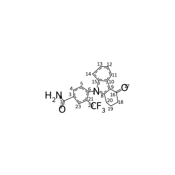 NC(=O)c1ccc(-n2c3c(c4ccccc42)C(=O)CCC3)c(C(F)(F)F)c1